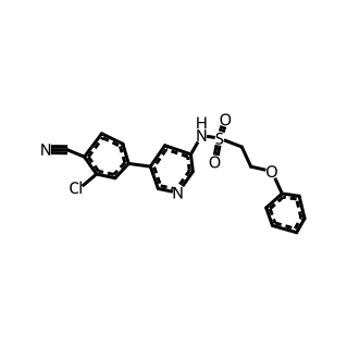 N#Cc1ccc(-c2cncc(NS(=O)(=O)CCOc3ccccc3)c2)cc1Cl